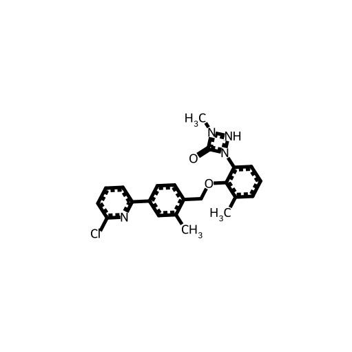 Cc1cc(-c2cccc(Cl)n2)ccc1COc1c(C)cccc1-n1[nH]n(C)c1=O